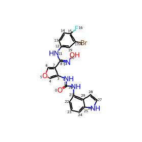 O=C(Nc1cocc1/C(=N/O)Nc1ccc(F)c(Br)c1)Nc1cccc2[nH]ccc12